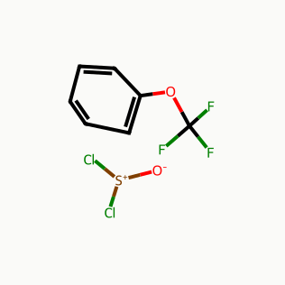 FC(F)(F)Oc1ccccc1.[O-][S+](Cl)Cl